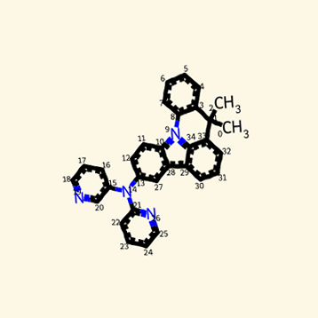 CC1(C)c2ccccc2-n2c3ccc(N(c4cccnc4)c4ccccn4)cc3c3cccc1c32